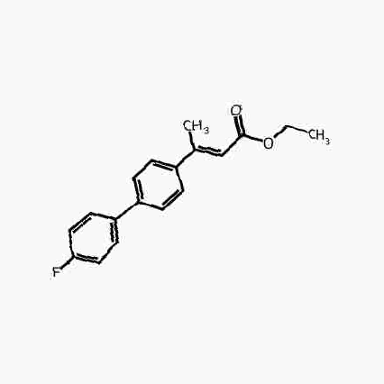 CCOC(=O)/C=C(\C)c1ccc(-c2ccc(F)cc2)cc1